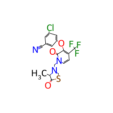 CC1C(=O)SCN1Cn1ccc(C(F)(F)F)c(Oc2cc(Cl)cc(C#N)c2)c1=O